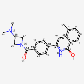 Cc1cccc2c(=O)[nH]c(-c3ccc(C(=O)N4CC(N(C)C)C4)cc3)cc12